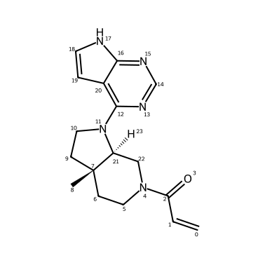 C=CC(=O)N1CC[C@]2(C)CCN(c3ncnc4[nH]ccc34)[C@H]2C1